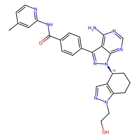 Cc1ccnc(NC(=O)c2ccc(-c3nn([C@H]4CCCc5c4cnn5CCO)c4ncnc(N)c34)cc2)c1